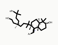 CCCC(C)(C)CC[C@](C)(CCO)CCC(C)(C)[C@]1(C)CC[C@H]2C(C)(C)[C@@H](O)CC[C@]2(C)/C1=C/C(C)=O